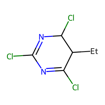 CCC1C(Cl)=NC(Cl)=NC1Cl